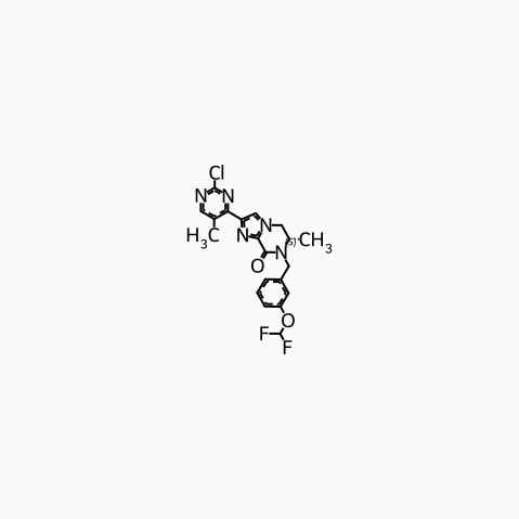 Cc1cnc(Cl)nc1-c1cn2c(n1)C(=O)N(Cc1cccc(OC(F)F)c1)[C@@H](C)C2